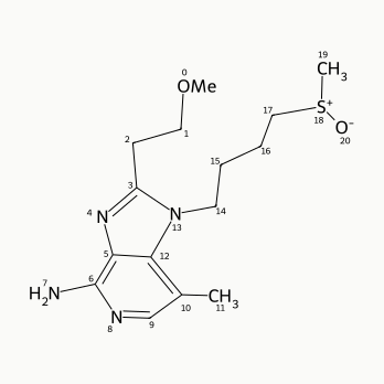 COCCc1nc2c(N)ncc(C)c2n1CCCC[S+](C)[O-]